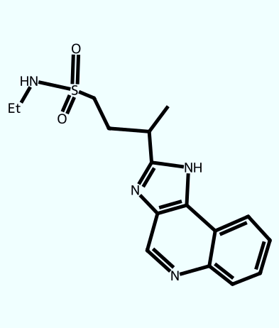 CCNS(=O)(=O)CCC(C)c1nc2cnc3ccccc3c2[nH]1